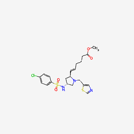 COC(=O)CCCC=C[C@@H]1C[C@@H](NS(=O)(=O)c2ccc(Cl)cc2)CN1Cc1cncs1